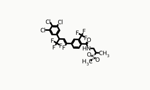 CC(CNC(=O)c1ccc(C(F)=CC(c2cc(Cl)c(Cl)c(Cl)c2)C(F)(F)F)cc1C(F)(F)F)S(C)(=O)=O